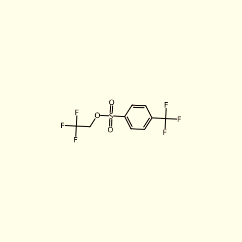 O=S(=O)(OCC(F)(F)F)c1ccc(C(F)(F)F)cc1